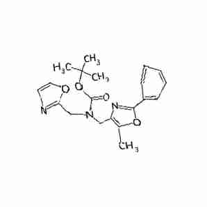 Cc1oc(-c2ccccc2)nc1CN(Cc1ncco1)C(=O)OC(C)(C)C